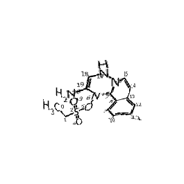 CCS(=O)(=O)O[N+]1=C2c3ccccc3C=CN2NC=C1N